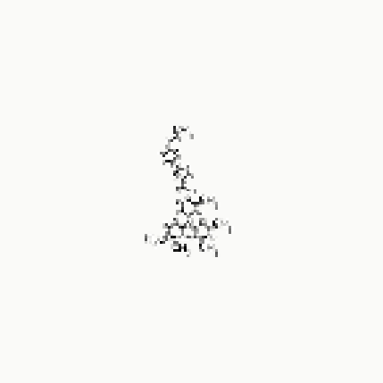 CC=Cc1ccc(-c2ccc(C=Cc3ccc(N(c4cc(C)cc(C)c4)c4ccc(C)c(C)c4)cc3C)s2)s1